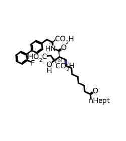 CCCCCCCC(=O)CCCCCC/C=C/[C@H](C(=O)N[C@@H](Cc1ccc(-c2ccccc2F)cc1)C(=O)O)[C@@](O)(CC(=O)O)C(=O)O